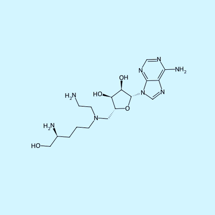 NCCN(CCC[C@H](N)CO)C[C@H]1O[C@@H](n2cnc3c(N)ncnc32)[C@H](O)[C@@H]1O